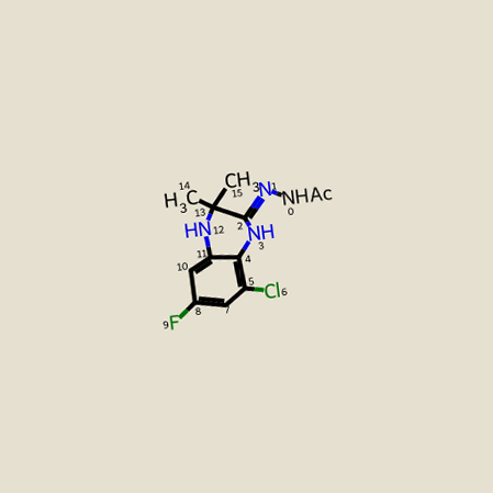 CC(=O)N/N=C1\Nc2c(Cl)cc(F)cc2NC1(C)C